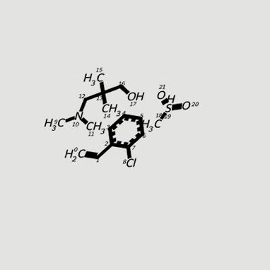 C=Cc1ccccc1Cl.CN(C)CC(C)(C)CO.C[SH](=O)=O